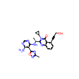 Cc1noc(-c2c(N)ncnc2N[C@@H](C)c2nc3cccc(C#CCO)c3c(=O)n2C2CC2)n1